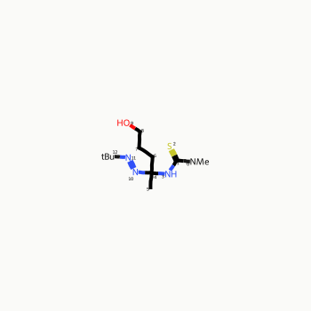 CNC(=S)NC(C)(CCCO)/N=N/C(C)(C)C